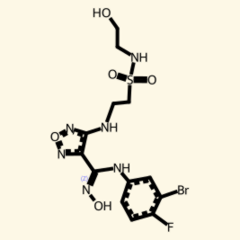 O=S(=O)(CCNc1nonc1/C(=N/O)Nc1ccc(F)c(Br)c1)NCCO